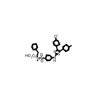 Cc1ccc(-c2sc(Nc3ccc(S(=O)(=O)N(C)[C@@H](Cc4ccccc4)C(=O)O)cc3)nc2-c2ccc(Cl)cc2)cc1